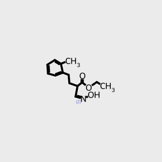 CCOC(=O)C(/C=N\O)CCc1ccccc1C